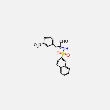 O=[C][C@H](Cc1cccc([N+](=O)[O-])c1)NS(=O)(=O)c1ccc2ccccc2c1